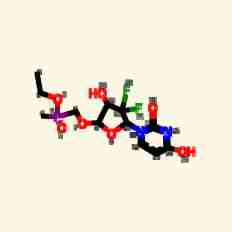 CCOP(C)(=O)COC1OC(n2ccc(O)nc2=O)C(F)(F)C1O